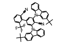 CC(C)(C)c1ccc2c3ccccc3n(-c3cc(-c4c(C#N)cccc4C(F)(F)F)cc(-n4c5ccccc5c5ccc(C(C)(C)C)cc54)c3C#N)c2c1